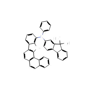 CC1(C)c2ccccc2-c2ccc(N(c3ccccc3)c3cccc4c3[se]c3c4ccc4ccc5ccccc5c43)cc21